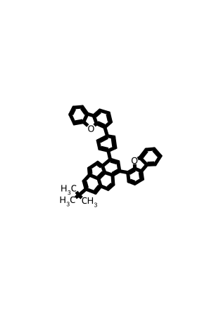 CC(C)(C)c1cc2ccc3c(-c4ccc(-c5cccc6c5oc5ccccc56)cc4)cc(-c4cccc5c4oc4ccccc45)c4ccc(c1)c2c34